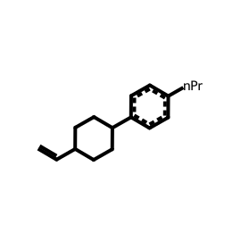 C=CC1CCC(c2ccc(CCC)cc2)CC1